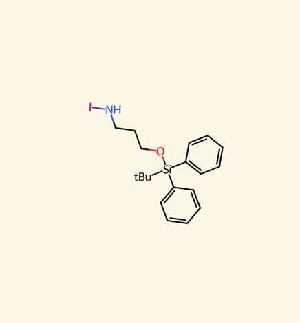 CC(C)(C)[Si](OCCCNI)(c1ccccc1)c1ccccc1